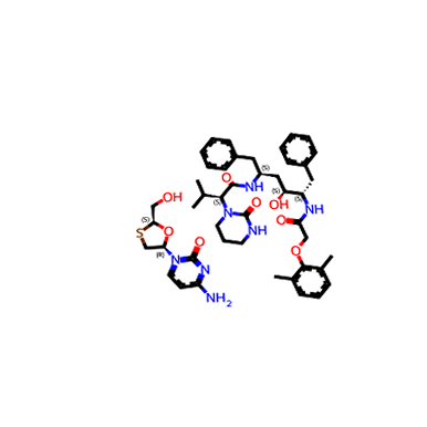 Cc1cccc(C)c1OCC(=O)N[C@@H](Cc1ccccc1)[C@@H](O)C[C@H](Cc1ccccc1)NC(=O)[C@H](C(C)C)N1CCCNC1=O.Nc1ccn([C@H]2CS[C@@H](CO)O2)c(=O)n1